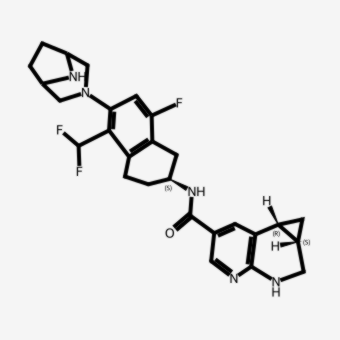 O=C(N[C@H]1CCc2c(c(F)cc(N3CC4CCC(C3)N4)c2C(F)F)C1)c1cnc2c(c1)[C@@H]1C[C@@H]1CN2